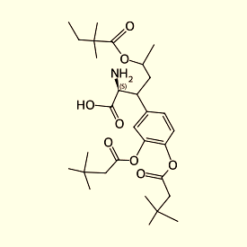 CCC(C)(C)C(=O)OC(C)CC(c1ccc(OC(=O)CC(C)(C)C)c(OC(=O)CC(C)(C)C)c1)[C@H](N)C(=O)O